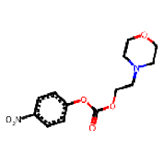 O=C(OCCN1CCOCC1)Oc1ccc([N+](=O)[O-])cc1